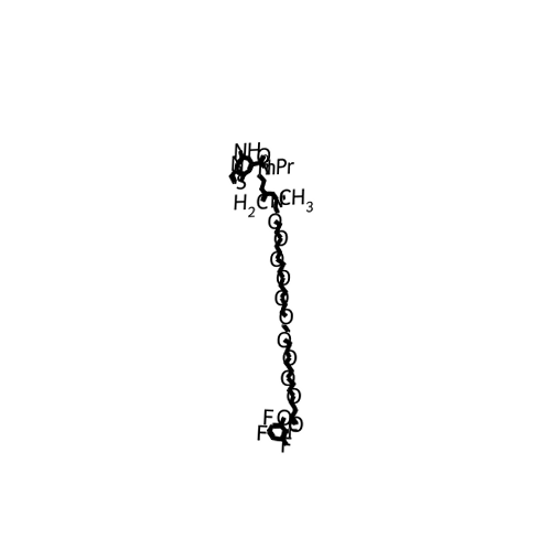 C=C(CCCN(CCC)C(=O)C1=Cc2sccc2N=C(N)C1)CN(C)CCOCCOCCOCCOCCOCCOCCOCCOCCOCCOCCC(=O)Oc1c(F)c(F)cc(F)c1F